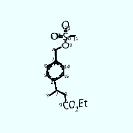 CCOC(=O)CC(C)c1ccc(COS(C)(=O)=O)cc1